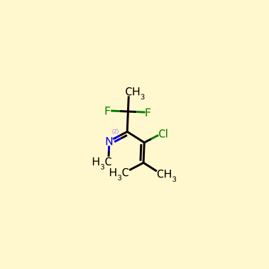 C/N=C(\C(Cl)=C(C)C)C(C)(F)F